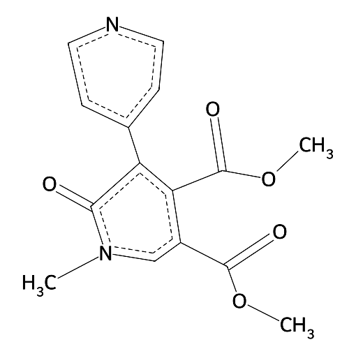 COC(=O)c1cn(C)c(=O)c(-c2ccncc2)c1C(=O)OC